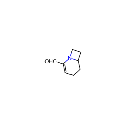 O=[C]C1=CCCC2CCN12